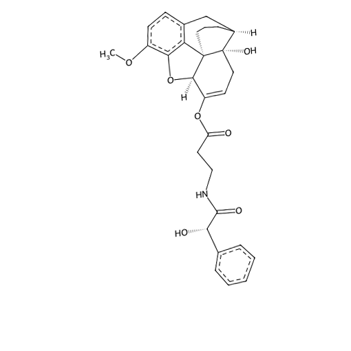 COc1ccc2c3c1O[C@@H]1C(OC(=O)CCNC(=O)[C@@H](O)c4ccccc4)=CC[C@]4(O)[C@@H](CCC[C@@]314)C2